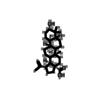 C=C(C)[C@@H]1CC[C@]2(C(=O)O)CC[C@]3(C)C(CC[C@@H]4[C@@]5(C)CC[C@H](O)C(C)(C)[C@@H]5CC[C@]43C)[C@H]12